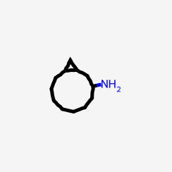 NC1CCCCCCCC2CC2C1